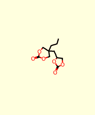 CCCC1(CC2COC(=O)O2)COC(=O)OC1